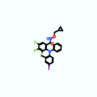 Cc1cc(I)ccc1N(c1ccccc1)c1c(C(=O)NOCC2CC2)cc(F)c(F)c1F